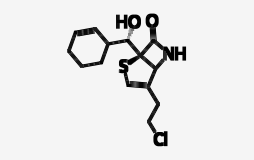 O=C1NC2C(CCCl)=CS[C@@]12[C@@H](O)C1C=CCCC1